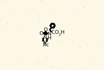 CC(=O)N1CCN(c2c(N[C@@H](Cc3ccccc3)C(=O)O)c(=O)c2=O)CC1